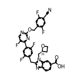 N#Cc1cc(F)c(COc2ncc(F)c(-c3cc(F)c(Cc4nc5ccc(C(=O)O)cc5n4C[C@@H]4CCO4)cc3F)n2)cc1F